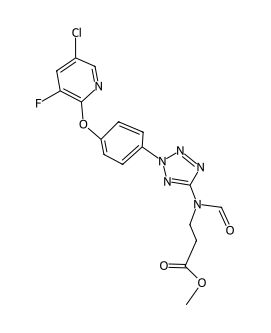 COC(=O)CCN(C=O)c1nnn(-c2ccc(Oc3ncc(Cl)cc3F)cc2)n1